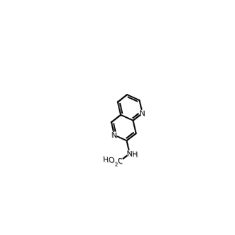 O=C(O)Nc1cc2ncccc2cn1